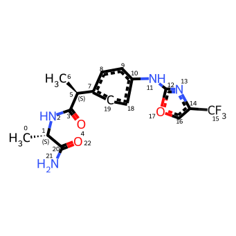 C[C@H](NC(=O)[C@@H](C)c1ccc(Nc2nc(C(F)(F)F)co2)cc1)C(N)=O